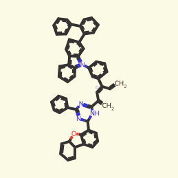 C=C/C(=C\C(=C)C1=NC(c2ccccc2)=NC(c2cccc3c2OC2C=CC=CC32)N1)c1cccc(-n2c3ccccc3c3ccc(-c4ccccc4-c4ccccc4)cc32)c1